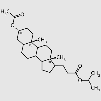 CC(=O)O[C@@H]1CC[C@@]2(C)C(CCC3C2CC[C@]2(C)C(CCC(=O)OC(C)C)CCC32)C1